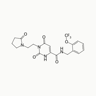 O=C(NCc1ccccc1OC(F)(F)F)c1cc(=O)n(CCN2CCCC2=O)c(=O)[nH]1